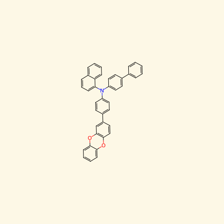 c1ccc(-c2ccc(N(c3ccc(-c4ccc5c(c4)Oc4ccccc4O5)cc3)c3cccc4ccccc34)cc2)cc1